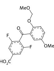 COCOc1ccc(OC)cc1C(=O)c1c(F)cc(C(=O)O)cc1F